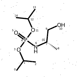 CC(C)OP(=O)(N[C@@H](C)CO)OC(C)C